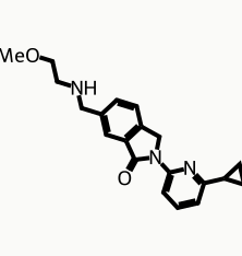 COCCNCc1ccc2c(c1)C(=O)N(c1cccc(C3CC3)n1)C2